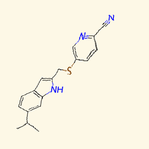 CC(C)c1ccc2cc(CSc3ccc(C#N)nc3)[nH]c2c1